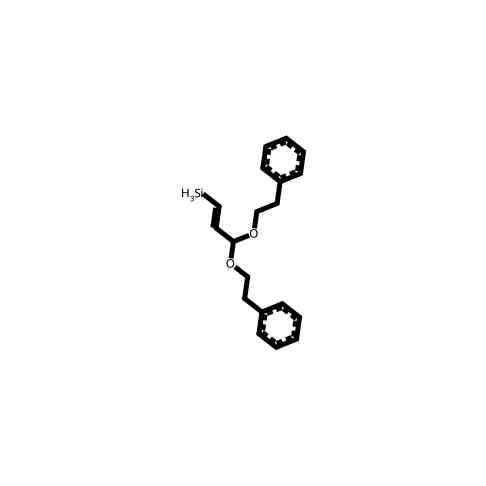 [SiH3]C=CC(OCCc1ccccc1)OCCc1ccccc1